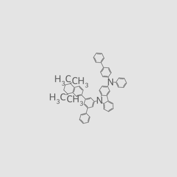 CC1(C)CCC(C)(C)c2cc(-c3cc(-c4ccccc4)cc(-n4c5ccccc5c5cc(N(c6ccccc6)c6ccc(-c7ccccc7)cc6)ccc54)c3)ccc21